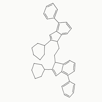 C1=C(C2CCCCC2)C(CCC2C(C3CCCCC3)=Cc3c(-c4ccccc4)cccc32)c2cccc(-c3ccccc3)c21